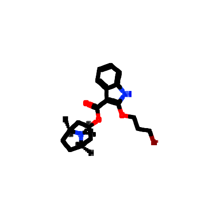 CN1[C@@H]2CC[C@H]1C[C@@H](OC(=O)c1c(OCCCBr)[nH]c3ccccc13)C2